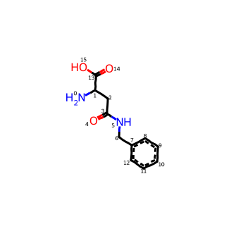 NC(CC(=O)NCc1ccccc1)C(=O)O